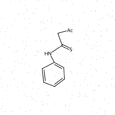 CC(=O)CC(=S)Nc1ccccc1